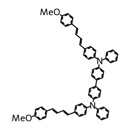 COc1ccc(C=CC=Cc2ccc(N(c3ccccc3)c3ccc(-c4ccc(N(c5ccccc5)c5ccc(C=CC=Cc6ccc(OC)cc6)cc5)cc4)cc3)cc2)cc1